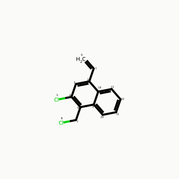 C=Cc1cc(Cl)c(CCl)c2ccccc12